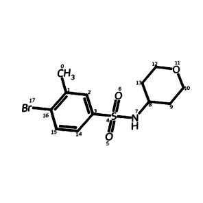 Cc1cc(S(=O)(=O)NC2CCOCC2)ccc1Br